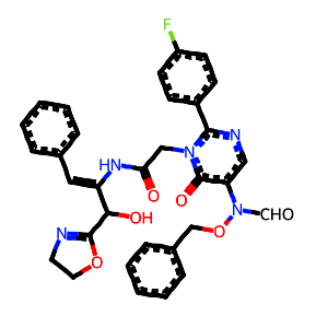 O=CN(OCc1ccccc1)c1cnc(-c2ccc(F)cc2)n(CC(=O)NC(=Cc2ccccc2)C(O)C2=NCCO2)c1=O